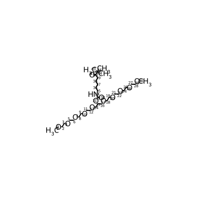 COCCOCCOCCOCCOCC(COCCOCCOCCOCCOC)OC(=O)NCCCCCC(=O)C(C)(C)C